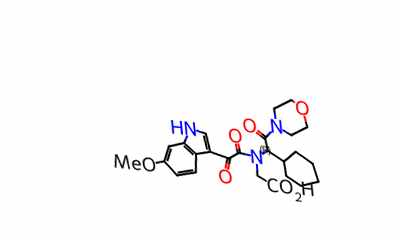 COc1ccc2c(C(=O)C(=O)N(CC(=O)O)[C@@H](C(=O)N3CCOCC3)C3CCCCC3)c[nH]c2c1